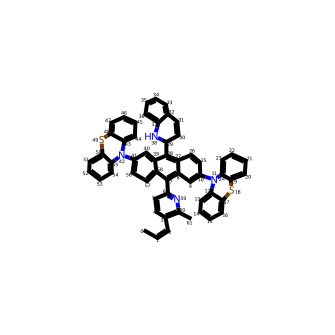 C/C=C\c1ccc(-c2c3cc(N4c5ccccc5Sc5ccccc54)ccc3c(C3C=Cc4ccccc4N3)c3cc(N4c5ccccc5Sc5ccccc54)ccc23)nc1C